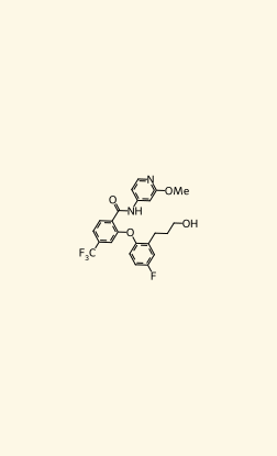 COc1cc(NC(=O)c2ccc(C(F)(F)F)cc2Oc2ccc(F)cc2CCCO)ccn1